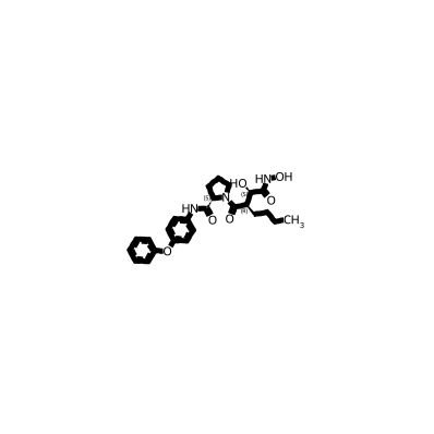 CCCC[C@@H](C(=O)N1CCC[C@H]1C(=O)Nc1ccc(Oc2ccccc2)cc1)[C@H](O)C(=O)NO